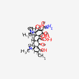 Cc1cc(N(C)C)c2c(c1O)C(=O)C1=C(O)[C@]3(O)C(=O)C(C(N)=O)=C(O)[C@H](N(C)C)[C@@H]3C[C@@H]1C2